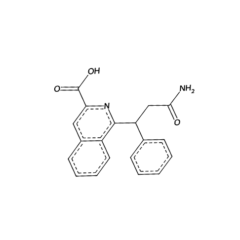 NC(=O)CC(c1ccccc1)c1nc(C(=O)O)cc2ccccc12